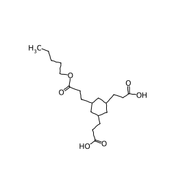 CCCCCOC(=O)CCC1CC(CCC(=O)O)CC(CCC(=O)O)C1